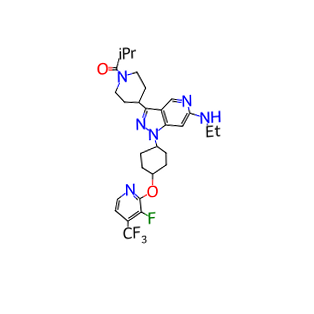 CCNc1cc2c(cn1)c(C1CCN(C(=O)C(C)C)CC1)nn2C1CCC(Oc2nccc(C(F)(F)F)c2F)CC1